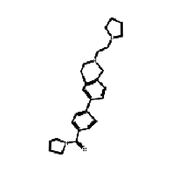 O=C(c1ccc(-c2ccc3c(c2)CCN(CCN2CCCC2)C3)cc1)N1CCCC1